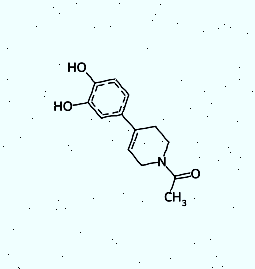 CC(=O)N1CC=C(c2ccc(O)c(O)c2)CC1